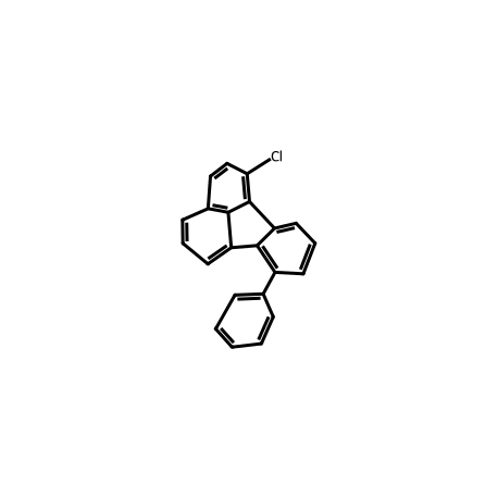 Clc1ccc2cccc3c2c1-c1cccc(-c2ccccc2)c1-3